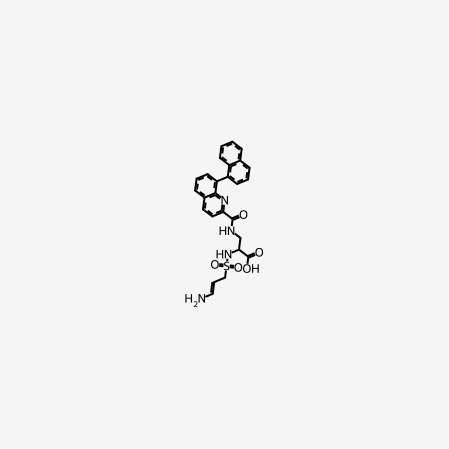 NC=CCS(=O)(=O)NC(CNC(=O)c1ccc2cccc(-c3cccc4ccccc34)c2n1)C(=O)O